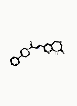 O=C1CNCc2cc(/C=C/C(=O)N3CC=C(c4ccccc4)CC3)cnc2N1